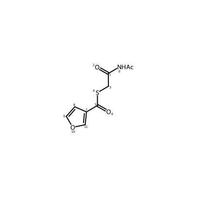 CC(=O)NC(=O)CSC(=O)c1ccoc1